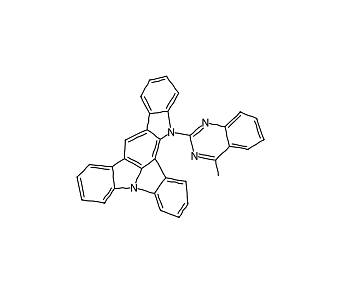 Cc1nc(-n2c3ccccc3c3cc4c5ccccc5n5c6ccccc6c(c32)c45)nc2ccccc12